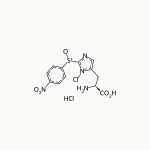 Cl.N[C@@H](Cc1cnc([S+]([O-])c2ccc([N+](=O)[O-])cc2)n1Cl)C(=O)O